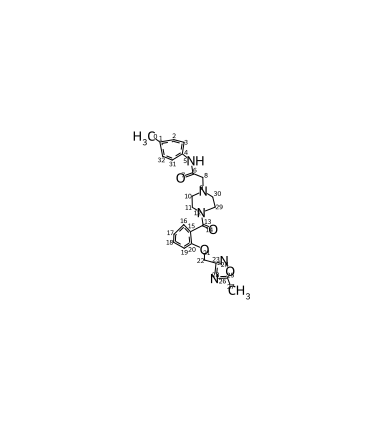 Cc1ccc(NC(=O)CN2CCN(C(=O)c3ccccc3OCc3noc(C)n3)CC2)cc1